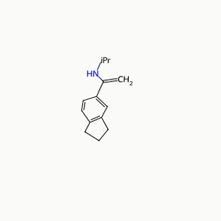 C=C(NC(C)C)c1ccc2c(c1)CCC2